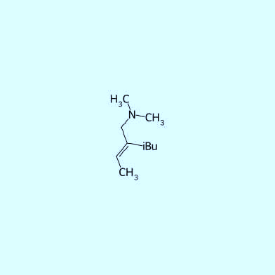 C/C=C(/CN(C)C)C(C)CC